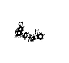 Clc1ccc2c(N3CCN(c4nccc(NC5CCCCC5)n4)CC3)ccnc2c1